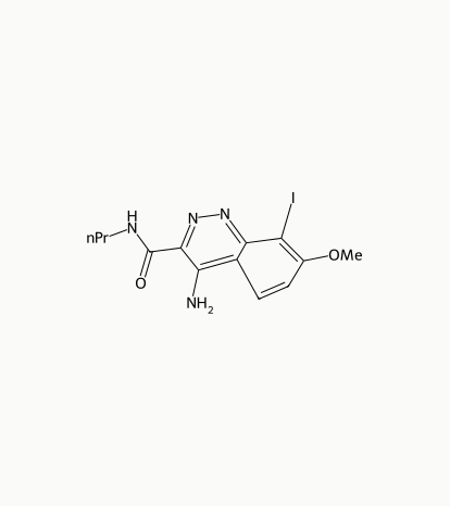 CCCNC(=O)c1nnc2c(I)c(OC)ccc2c1N